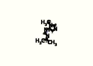 CC(C)=N/C=N\C1CN=CN1C